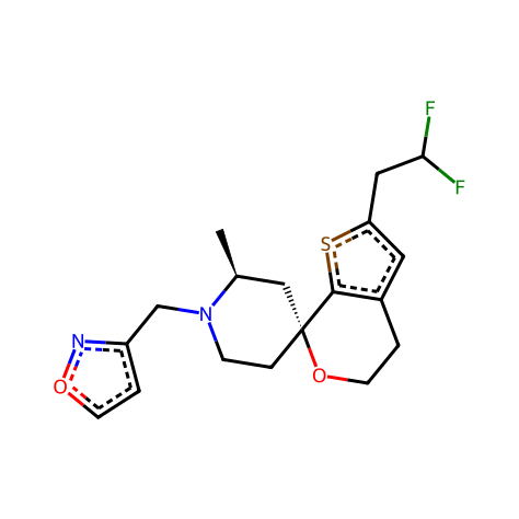 C[C@H]1C[C@@]2(CCN1Cc1ccon1)OCCc1cc(CC(F)F)sc12